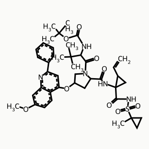 C=CC1CC1(NC(=O)C1CC(Oc2cc(-c3ccccc3)nc3cc(OC)ccc23)CN1C(=O)C(NC(=O)OC(C)(C)C)C(C)(C)C)C(=O)NS(=O)(=O)C1(C)CC1